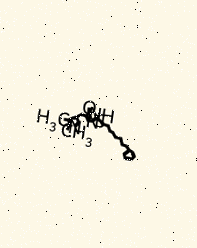 Cc1cc(Cc2cnc(SCCCCCCCCc3ccccc3)[nH]c2=O)cnc1C